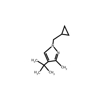 Cc1nn(CC2CC2)cc1C(C)(C)C